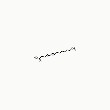 CCCCCCC/C=C/C=C/CCC(=O)O